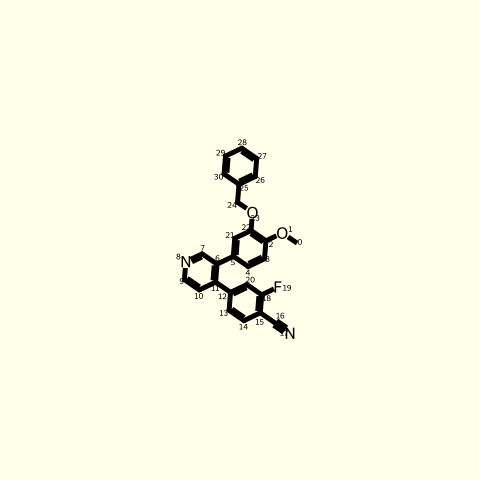 COc1ccc(-c2cnccc2-c2ccc(C#N)c(F)c2)cc1OCc1ccccc1